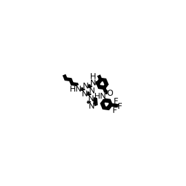 CCCCCNc1nc(Nc2cc(C(=O)Nc3cccc(C(F)(F)F)c3)ccc2C)nc(-n2ccnc2)n1